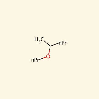 CC[CH]C(C)OCCC